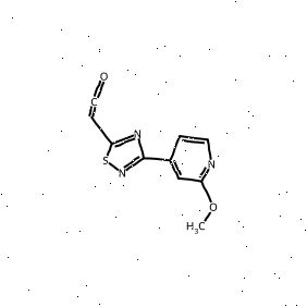 COc1cc(-c2nsc(C=C=O)n2)ccn1